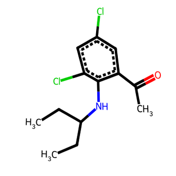 CCC(CC)Nc1c(Cl)cc(Cl)cc1C(C)=O